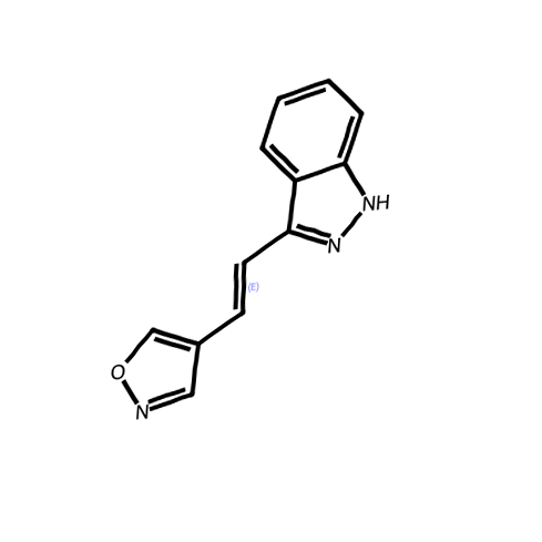 C(=C\c1n[nH]c2ccccc12)/c1cnoc1